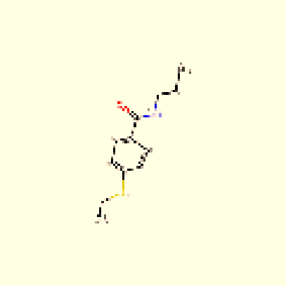 CCCNC(=O)c1ccc(SCC)cc1